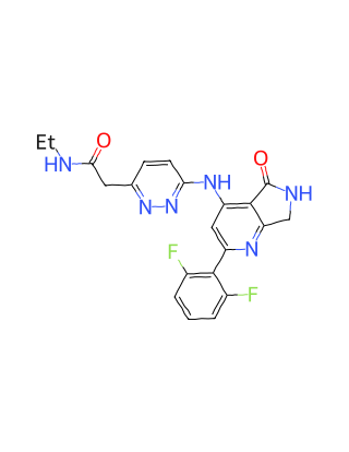 CCNC(=O)Cc1ccc(Nc2cc(-c3c(F)cccc3F)nc3c2C(=O)NC3)nn1